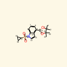 CC1(C)OB(c2cccc3c2ccn3S(=O)(=O)C2CC2)OC1(C)C